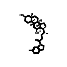 Cc1ccc2c(c1)N(C(=O)CC[C@@H](C)[C@H]1CC[C@H]3[C@@H]4CC[C@@H]5C[C@H](O)CC[C@]5(C)[C@H]4C[C@H](O)[C@]13C)CC2